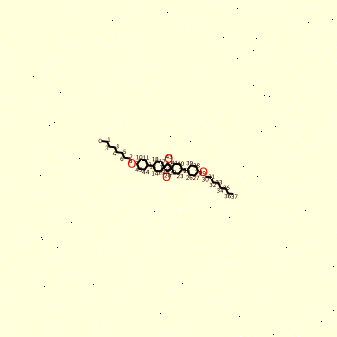 CCCCCCCCOC1CCC(C2CCC3(CC2)C(=O)C2(CCC(C4CCC(OCCCCCCCC)CC4)CC2)C3=O)CC1